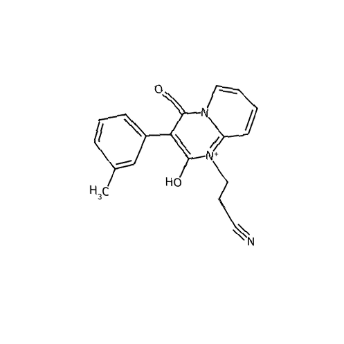 Cc1cccc(-c2c(O)[n+](CCC#N)c3ccccn3c2=O)c1